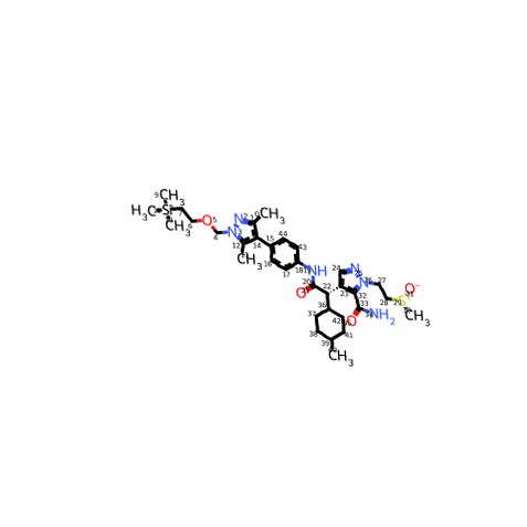 Cc1nn(COCC[Si](C)(C)C)c(C)c1-c1ccc(NC(=O)[C@H](c2cnn(CC[S+](C)[O-])c2C(N)=O)C2CCC(C)CC2)cc1